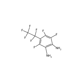 Nc1c(N)c(F)c(C(F)(F)C(F)(F)F)c(F)c1F